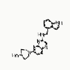 OC1CCN(c2ccc3ncc(NCc4cccc5[nH]ccc45)nc3n2)CC1